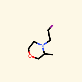 CC1COCCN1CCI